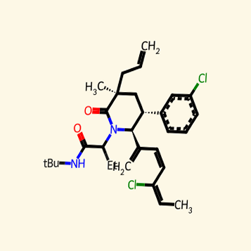 C=CC[C@@]1(C)C[C@H](c2cccc(Cl)c2)[C@@H](C(=C)/C=C\C(Cl)=C/C)N(C(CC)C(=O)NC(C)(C)C)C1=O